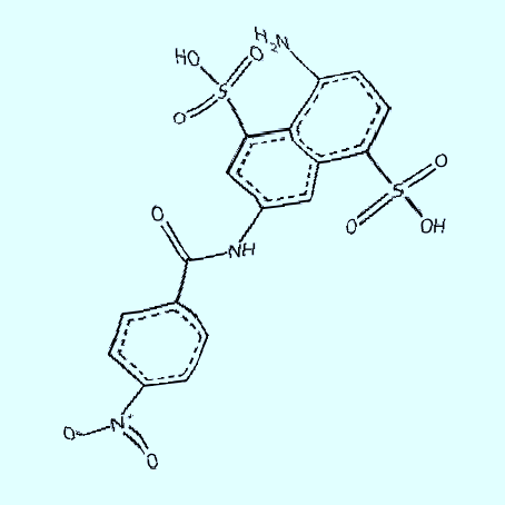 Nc1ccc(S(=O)(=O)O)c2cc(NC(=O)c3ccc([N+](=O)[O-])cc3)cc(S(=O)(=O)O)c12